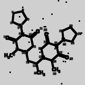 CC1C(=O)N(N2CCCC2)C(=O)CN1CC(C)N1CC(=O)N(N2CCCC2)C(=O)C1C